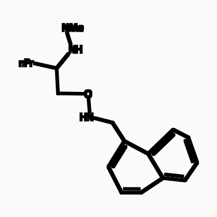 CCCC(CONCc1cccc2ccccc12)NNC